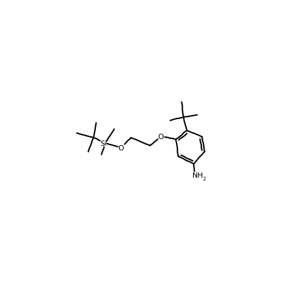 CC(C)(C)c1ccc(N)cc1OCCO[Si](C)(C)C(C)(C)C